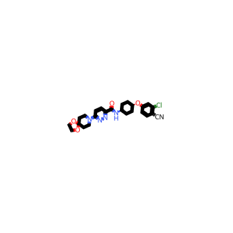 N#Cc1ccc(O[C@H]2CC[C@H](NC(=O)c3ccc(N4CCC5(CC4)OCCO5)nn3)CC2)cc1Cl